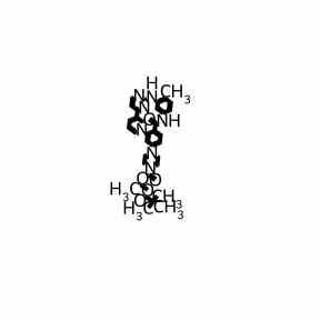 Cc1ccc(NC(=O)c2ccc(N3CCN(C(=O)OC(C)OC(=O)C(C)(C)C)CC3)cc2)cc1Nc1nccc(-c2cccnc2)n1